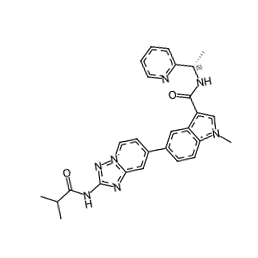 CC(C)C(=O)Nc1nc2cc(-c3ccc4c(c3)c(C(=O)N[C@@H](C)c3ccccn3)cn4C)ccn2n1